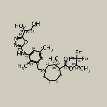 Cc1cc(CN2CCCCC(C(=O)O[C@H](C)C(F)(F)F)[C@@H](C)C2)c(C)c(Nc2nnc([C@@H](O)CO)o2)c1